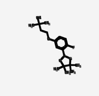 CC(C)(O)CCOc1ccc(F)c(B2OC(C)(C)C(C)(C)O2)c1